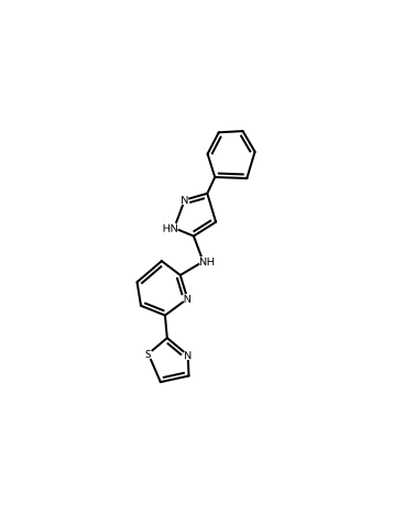 c1ccc(-c2cc(Nc3cccc(-c4nccs4)n3)[nH]n2)cc1